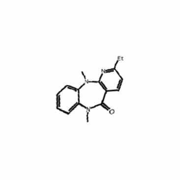 CCc1ccc2c(n1)N(C)c1ccccc1N(C)C2=O